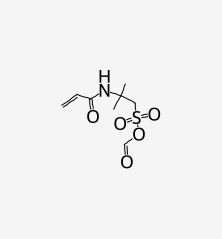 C=CC(=O)NC(C)(C)CS(=O)(=O)OC=O